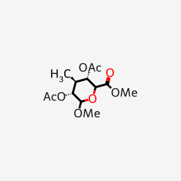 COC(=O)C1OC(OC)[C@H](OC(C)=O)[C@@H](C)[C@@H]1OC(C)=O